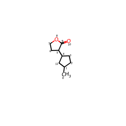 CC1CCC(C2CCOC2=O)C1